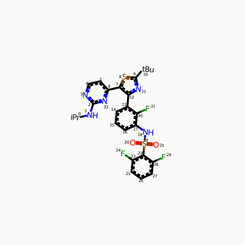 CC(C)Nc1nccc(-c2sc(C(C)(C)C)nc2-c2cccc(NS(=O)(=O)c3c(F)cccc3F)c2F)n1